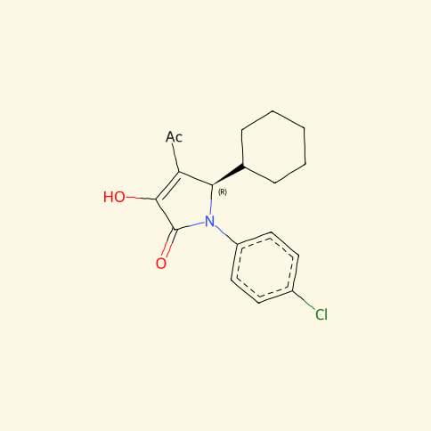 CC(=O)C1=C(O)C(=O)N(c2ccc(Cl)cc2)[C@@H]1C1CCCCC1